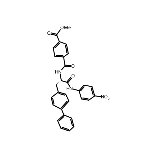 COC(=O)c1ccc(C(=O)N[C@@H](Cc2ccc(-c3ccccc3)cc2)C(=O)Nc2ccc([N+](=O)[O-])cc2)cc1